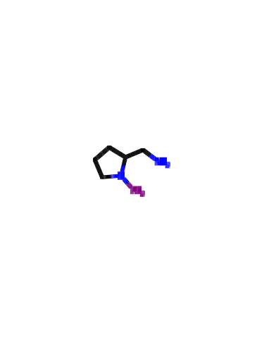 NCC1CCCN1P